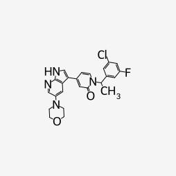 CC(c1cc(F)cc(Cl)c1)n1ccc(-c2c[nH]c3ncc(N4CCOCC4)cc23)cc1=O